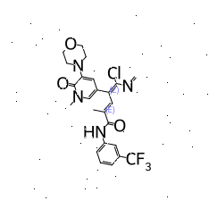 C=N/C(Cl)=C(\C=C(/C)C(=O)Nc1cccc(C(F)(F)F)c1)c1cc(N2CCOCC2)c(=O)n(C)c1